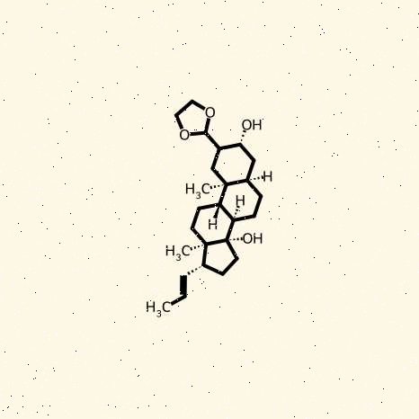 C/C=C/[C@H]1CC[C@]2(O)[C@@H]3CC[C@@H]4C[C@@H](O)C(C5OCCO5)C[C@]4(C)[C@H]3CC[C@]12C